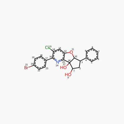 OC1CC(c2ccccc2)C2Oc3cc(Cl)c(-c4ccc(Br)cc4)nc3C12O